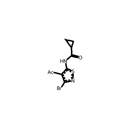 CC(=O)c1c(Br)nsc1NC(=O)C1CC1